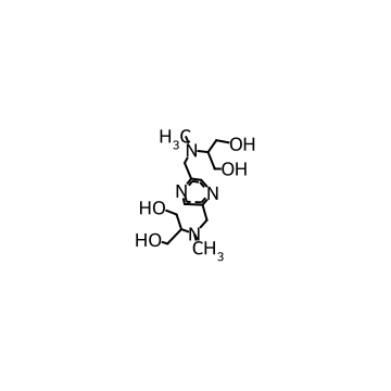 CN(Cc1cnc(CN(C)C(CO)CO)cn1)C(CO)CO